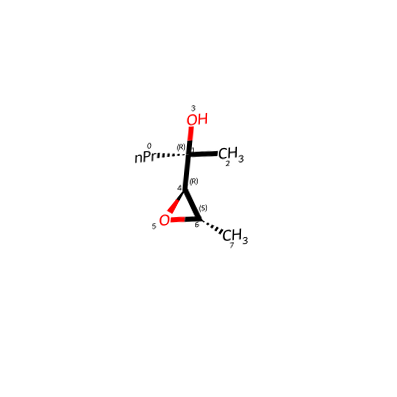 CCC[C@@](C)(O)[C@@H]1O[C@H]1C